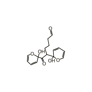 O=CCCCC(C(=O)C1(O)C=CC=CO1)C1(O)C=CC=CO1